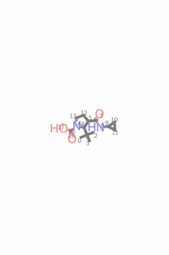 CC(C)(C)C1C(C(=O)NC2CC2)CCN1C(=O)O